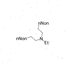 C[CH]N(CCCCCCCCCCC)CCCCCCCCCCC